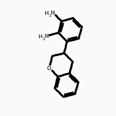 Nc1cccc(C2COc3ccccc3C2)c1N